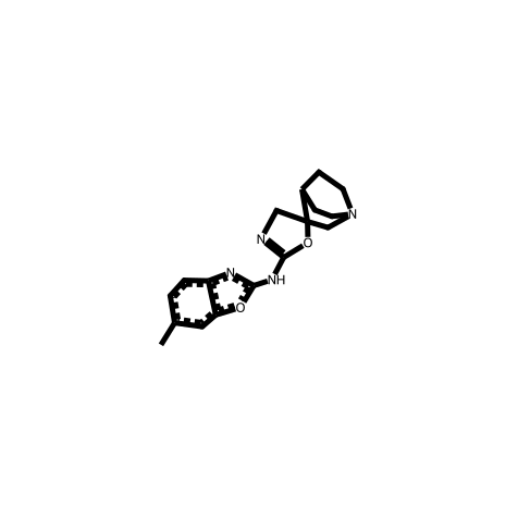 Cc1ccc2nc(NC3=NCC4(CN5CCC4CC5)O3)oc2c1